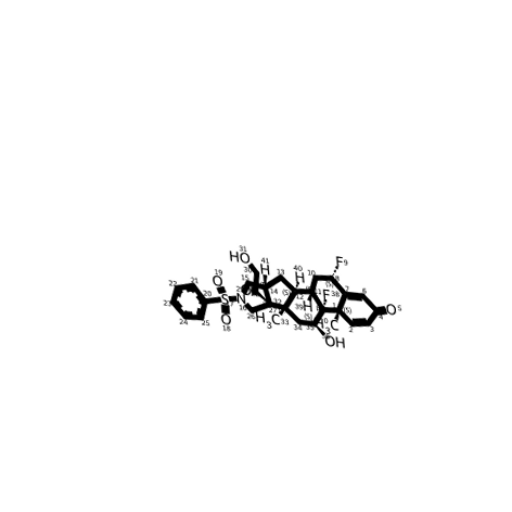 C[C@]12C=CC(=O)C=C1[C@@H](F)C[C@H]1[C@@H]3C[C@H]4CN(S(=O)(=O)c5ccccc5)C[C@@]4(C(=O)CO)[C@@]3(C)C[C@H](O)[C@@]12F